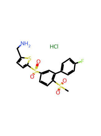 CS(=O)(=O)c1ccc(S(=O)(=O)c2ccc(CN)s2)cc1-c1ccc(F)cc1.Cl